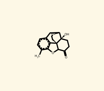 Cc1ccc2c3c1OC1C(=O)CC[C@@]4(O)C(C2)NCC[C@]314